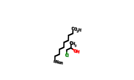 CC(O)CCl.CCCCCCCCCCCCCCCCCC(=O)O